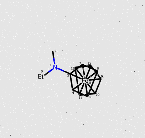 CCN(C)[C]12[CH]3[CH]4[CH]5[CH]1[Fe]45321678[CH]2[CH]1[CH]6[CH]7[CH]28